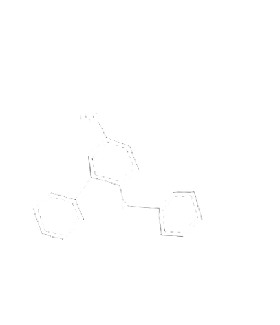 Cc1ccc(Oc2ccccc2)c(-c2ccccc2)c1